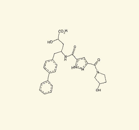 O=C(NC(Cc1ccc(-c2ccccc2)cc1)CC(O)C(=O)O)c1cc(C(=O)N2CCC(O)C2)n[nH]1